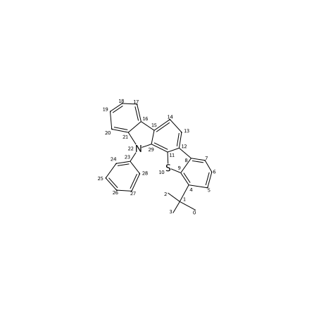 CC(C)(C)c1cccc2c1sc1c2ccc2c3ccccc3n(-c3ccccc3)c21